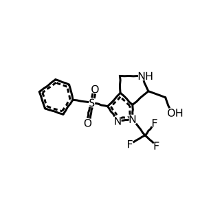 O=S(=O)(c1ccccc1)c1nn(C(F)(F)F)c2c1CNC2CO